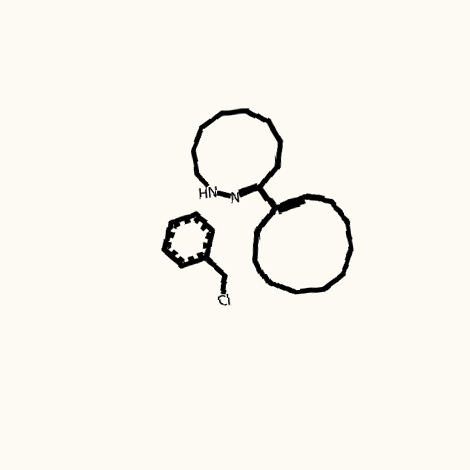 C1=C(C2=NNCCCCCCCC2)CCCCCCCCC1.ClCc1ccccc1